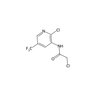 O=C(CCl)Nc1cc(C(F)(F)F)cnc1Cl